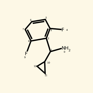 NC(c1c(F)cccc1F)C1CC1